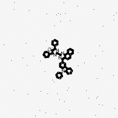 c1ccc(-c2nc(-c3nc(-c4ccc5c(c4)c4ccccc4n5-c4ccccc4)c4ccc5ccccc5c4n3)nc3c2oc2ccccc23)cc1